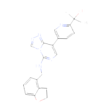 CC(C)(O)c1ccc(-c2cnc(NCc3cccc4c3CCO4)n3cnnc23)cn1